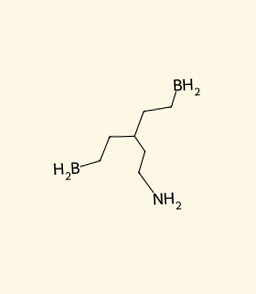 BCCC(CCB)CCN